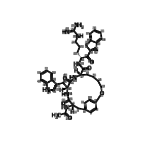 CC(=O)N[C@H]1Cc2ccc(cc2)OCCCC[C@@H](C(=O)N[C@H](CCCNC(=N)N)C(=O)c2nc3ccccc3s2)NC(=O)[C@@H](Cc2c[nH]c3ccccc23)NC1=O